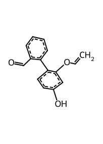 C=COc1cc(O)ccc1-c1ccccc1C=O